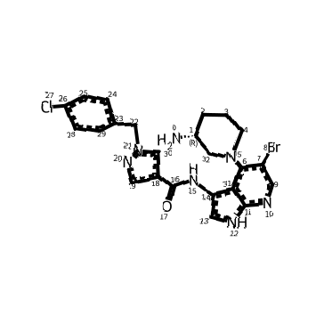 N[C@@H]1CCCN(c2c(Br)cnc3[nH]cc(NC(=O)c4cnn(Cc5ccc(Cl)cc5)c4)c23)C1